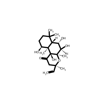 C=C[C@@]1(C)CC(=O)[C@]2(O)[C@@]3(C)[C@@H](O)CCC(C)(C)[C@@H]3[C@H](O)[C@](O)(C(C)=O)[C@@]2(C)O1